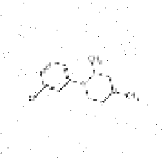 CC1CN(C)CCN1c1cccc(Cl)c1